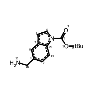 CC(C)(C)OC(=O)n1ccc2cc(CN)ccc21